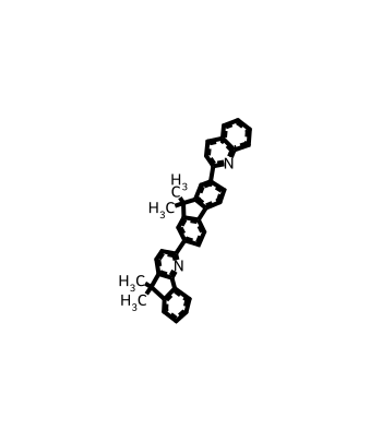 CC1(C)c2cc(-c3ccc4c(n3)-c3ccccc3C4(C)C)ccc2-c2ccc(-c3ccc4ccccc4n3)cc21